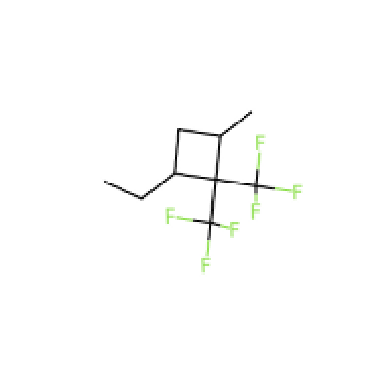 CCC1CC(C)C1(C(F)(F)F)C(F)(F)F